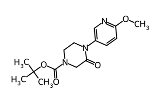 COc1ccc(N2CCN(C(=O)OC(C)(C)C)CC2=O)cn1